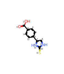 O=C(O)c1ccc(-c2c[nH]c(=S)[nH]2)cc1